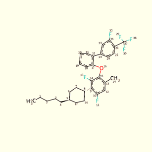 CCCCC[C@H]1CC[C@H](c2c(F)cc(C)c(Oc3ccccc3-c3ccc(C(F)(F)F)c(F)c3)c2F)CC1